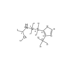 COC(C)N[Si](C)(C)[Ti]([CH3])([CH3])[C]1=C(C(C)(C)C)C=CC1